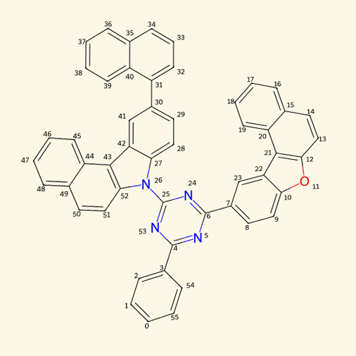 c1ccc(-c2nc(-c3ccc4oc5ccc6ccccc6c5c4c3)nc(-n3c4ccc(-c5cccc6ccccc56)cc4c4c5ccccc5ccc43)n2)cc1